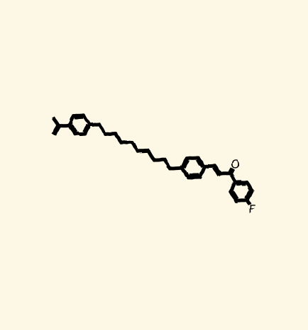 C=C(C)c1ccc(CCCCCCCCCCc2ccc(C=CC(=O)c3ccc(F)cc3)cc2)cc1